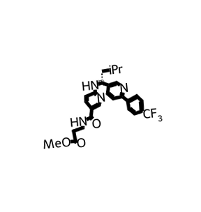 COC(=O)CCNC(=O)c1ccc(N[C@H](CC(C)C)c2ccc(-c3ccc(C(F)(F)F)cc3)nc2)nc1